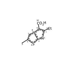 CCc1nc2sc(C)cn2c1C(=O)O